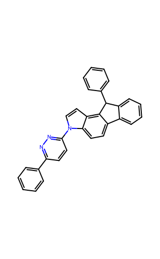 c1ccc(-c2ccc(-n3ccc4c5c(ccc43)-c3ccccc3C5c3ccccc3)nn2)cc1